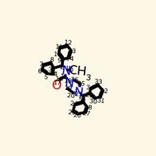 CN(C(c1ccccc1)c1ccccc1)C(C=O)N1CCN(C(c2ccccc2)c2ccccc2)CC1